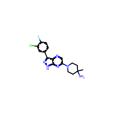 CC1(N)CCN(c2cnc3c(-c4ccc(F)c(Cl)c4)n[nH]c3n2)CC1